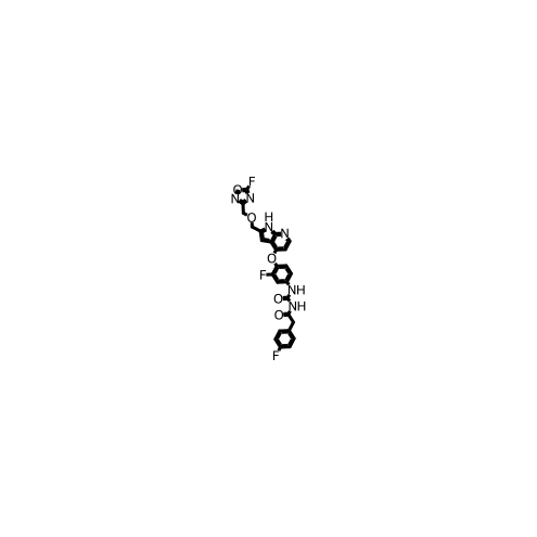 O=C(Cc1ccc(F)cc1)NC(=O)Nc1ccc(Oc2ccnc3[nH]c(COCc4noc(F)n4)cc23)c(F)c1